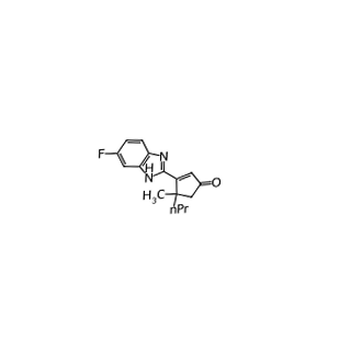 CCCC1(C)CC(=O)C=C1c1nc2ccc(F)cc2[nH]1